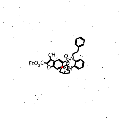 CCOC(=O)c1oc2ccc(S(=O)(=O)N(CCc3ccccc3)c3ccccc3N3CC4CC(C3)N4)cc2c1C